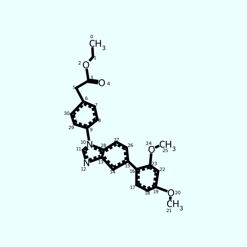 CCOC(=O)Cc1ccc(-n2cnc3cc(-c4ccc(OC)cc4OC)ccc32)cc1